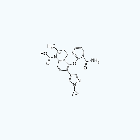 C[C@H]1CCc2c(ccc(-c3cnn(C4CC4)c3)c2Oc2ncccc2C(N)=O)N1C(=O)O